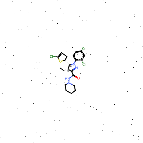 CC[C@H]1C(C(=O)NN2CCCCC2)=NN(c2ccc(Cl)cc2Cl)[C@H]1C1CC=C(Cl)S1